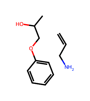 C=CCN.CC(O)COc1ccccc1